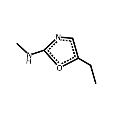 CCc1cnc(NC)o1